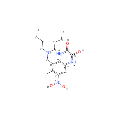 CCCCN(CCCC)Cc1c(C)c([N+](=O)[O-])cc2[nH]c(=O)c(=O)[nH]c12